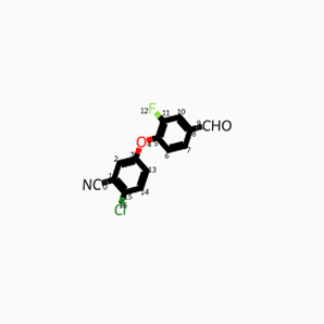 N#Cc1cc(Oc2ccc(C=O)cc2F)ccc1Cl